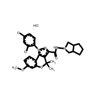 COc1ccc2c(c1)OC(C)(C)c1c(C(=O)NN3CC4CCCC4C3)nn(-c3ccc(Cl)cc3Cl)c1-2.Cl